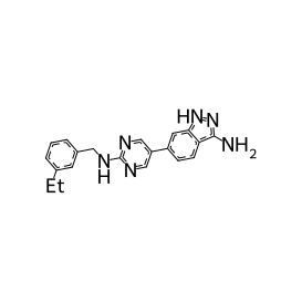 CCc1cccc(CNc2ncc(-c3ccc4c(N)n[nH]c4c3)cn2)c1